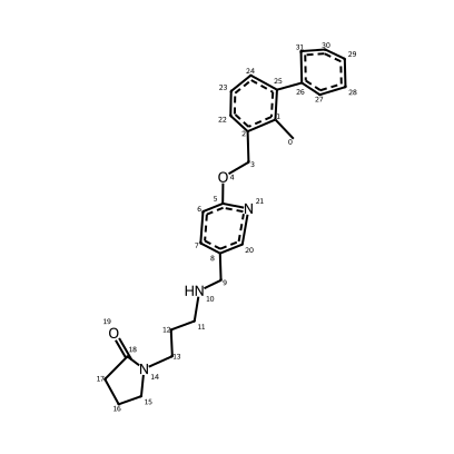 Cc1c(COc2ccc(CNCCCN3CCCC3=O)cn2)cccc1-c1ccccc1